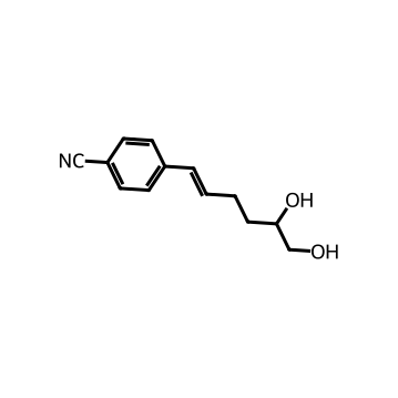 N#Cc1ccc(C=CCCC(O)CO)cc1